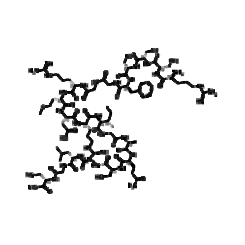 CC[C@H](C)[C@H](NC(=O)[C@H](CCCNC(=N)N)NC(=O)[C@H](CC(=O)O)NC(=O)[C@H](CCSC)NC(=O)[C@H](CCCNC(=N)N)NC(=O)CNC(=O)CNC(=O)[C@H](Cc1ccccc1)NC(=O)[C@H](CS)NC(=O)[C@H](CO)NC(=O)[C@H](CO)NC(=O)[C@@H](N)CCCNC(=N)N)C(=O)NCC(=O)N[C@@H](C)C(=O)N[C@@H](CCC(N)=O)C(=O)N[C@@H](CO)C(=O)NCC(=O)N[C@@H](CC(C)C)C(=O)NCC(=O)N[C@@H](CS)C(=O)O